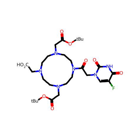 CC(C)(C)OC(=O)CN1CCN(CC(=O)O)CCN(CC(=O)OC(C)(C)C)CCN(C(=O)Cn2cc(F)c(=O)[nH]c2=O)CC1